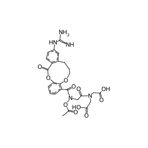 CC(=O)ON(CC(=O)N(CC(=O)O)CC(=O)O)C(=O)c1cccc2c1OCCCc1cc(NC(=N)N)ccc1C(=O)O2